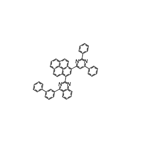 c1ccc(-c2cccc(-c3nc(-c4cc(-c5cc(-c6ccccc6)nc(-c6ccccc6)n5)c5ccc6cccc7ccc4c5c67)nc4ccccc34)c2)cc1